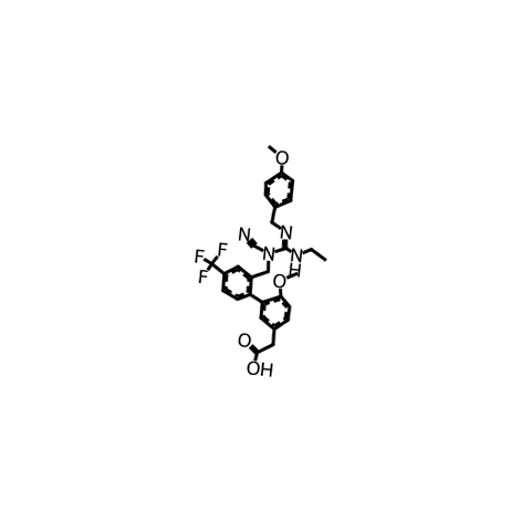 CCNC(=NCc1ccc(OC)cc1)N(C#N)Cc1cc(C(F)(F)F)ccc1-c1cc(CC(=O)O)ccc1OC